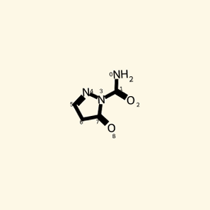 NC(=O)N1N=[C]CC1=O